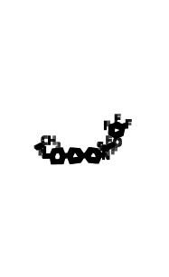 CC1CN1CC1CCC(c2ccc(-c3ccc4nc(C(F)(F)Oc5cc(F)c(F)c(F)c5)sc4c3)cc2)CC1